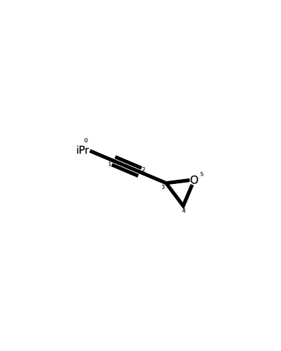 CC(C)C#CC1CO1